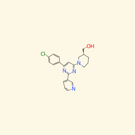 OC[C@H]1CCCN(c2cc(-c3ccc(Cl)cc3)nc(-c3cccnc3)n2)C1